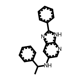 CC(Nc1cnc2[nH]c(-c3ccccc3)nc2c1)c1ccccc1